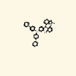 Cc1cc2cccc3c2n1-c1cccc2c1B3c1ccc(N(c3ccc(-c4ccccc4)cc3)c3ccc(-c4ccccc4)cc3)cc1O2